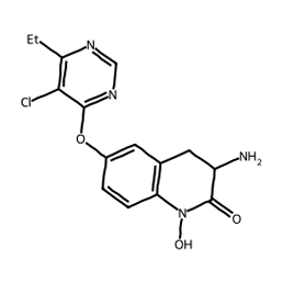 CCc1ncnc(Oc2ccc3c(c2)CC(N)C(=O)N3O)c1Cl